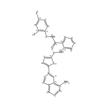 Nc1ncnc2ccc(-c3ccc(CNc4ncccc4C(=O)NCc4ccc(F)cc4F)s3)cc12